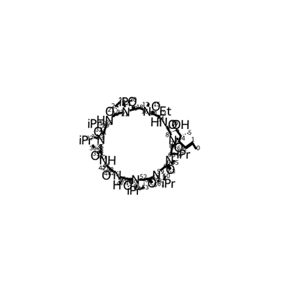 C/C=C/C[C@@H](C)C(O)[C@H]1C(=O)N[C@@H](CC)C(=O)N(C)CC(=O)N(C)[C@@H](CC(C)C)C(=O)N[C@@H](C(C)C)C(=O)N(C)[C@@H](CC(C)C)C(=O)N[C@@H](C)C(=O)N[C@H](C)C(=O)N(C)[C@@H](CC(C)C)C(=O)N(C)[C@@H](CC(C)C)C(=O)N(C)C(C(C)C)C(=O)N1C